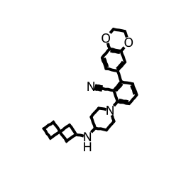 N#Cc1c(-c2ccc3c(c2)OCCO3)cccc1N1CCC(NC2CC3(CCC3)C2)CC1